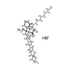 Br.CCCCCCCCCCCCC(CCCCCCCCCCCC)(C(=O)OC)C(P)(CCCCCCCCCCCC)c1ccccc1